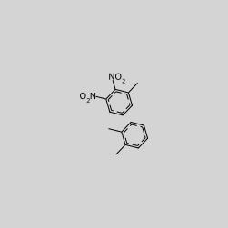 Cc1cccc([N+](=O)[O-])c1[N+](=O)[O-].Cc1ccccc1C